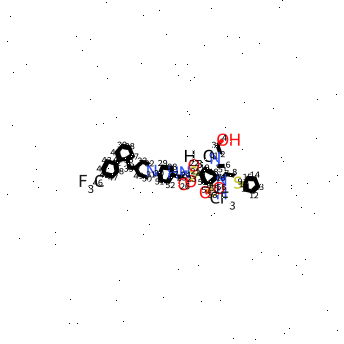 CN(CCO)CC[C@H](CSc1ccccc1)Nc1ccc(S(=O)(=O)NC(=O)c2ccc(N3CCC(Cc4ccccc4-c4ccc(C(F)(F)F)cc4)CC3)cc2)cc1S(=O)(=O)C(F)(F)F